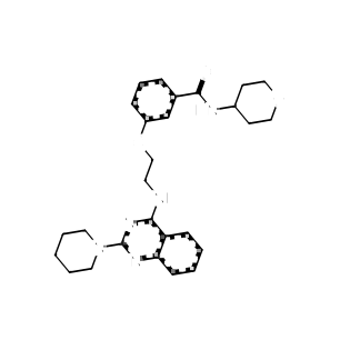 O=C(NC1CCOCC1)c1cccc(OCCNc2nc(N3CCCCC3)nc3ccccc23)c1